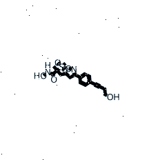 CC(CC1CC(c2ccc(C#CCCO)cc2)=NO1)(C(=O)NO)S(C)(=O)=O